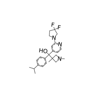 CC(C)c1ccc(C(O)(c2ccnc(N3CCC(F)(F)C3)c2)C2(C)CN(C)C2)cc1